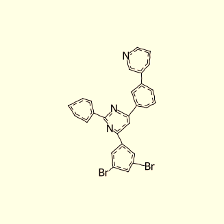 Brc1cc(Br)cc(-c2cc(-c3cccc(-c4cccnc4)c3)nc(-c3ccccc3)n2)c1